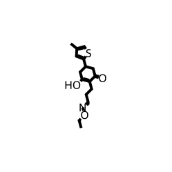 CCON=CCCC1=C(O)CC(c2cc(C)cs2)CC1=O